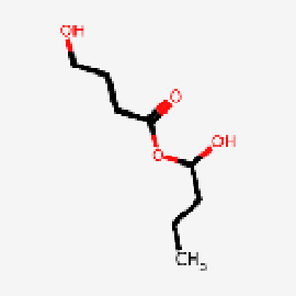 CCCC(O)OC(=O)CCCO